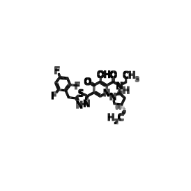 C=C[C@H]1C[C@@H]2N(CC)C(=O)c3c(O)c(=O)c(-c4nnc(Cc5c(F)cc(F)cc5F)s4)cn3N2C1